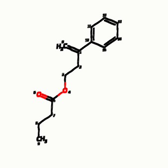 C=C(CCOC(=O)CCC)c1ccccc1